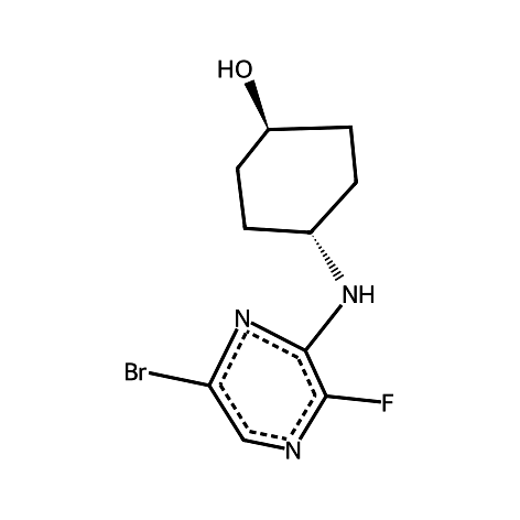 O[C@H]1CC[C@H](Nc2nc(Br)cnc2F)CC1